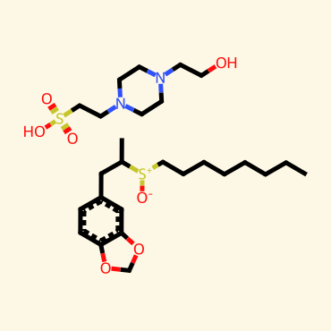 CCCCCCCC[S+]([O-])C(C)Cc1ccc2c(c1)OCO2.O=S(=O)(O)CCN1CCN(CCO)CC1